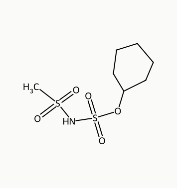 CS(=O)(=O)NS(=O)(=O)OC1CCCCC1